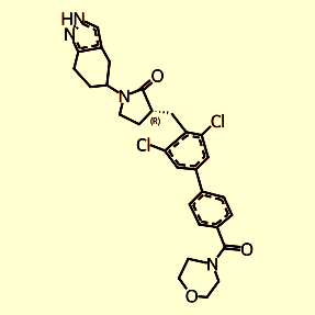 O=C(c1ccc(-c2cc(Cl)c(C[C@@H]3CCN(C4CCc5n[nH]cc5C4)C3=O)c(Cl)c2)cc1)N1CCOCC1